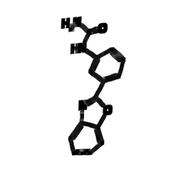 NC(=O)Nc1cccc(-c2nc3ccccc3o2)c1